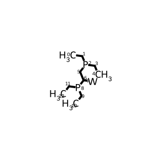 CCP(CC)C[CH]([W])P(CC)CC